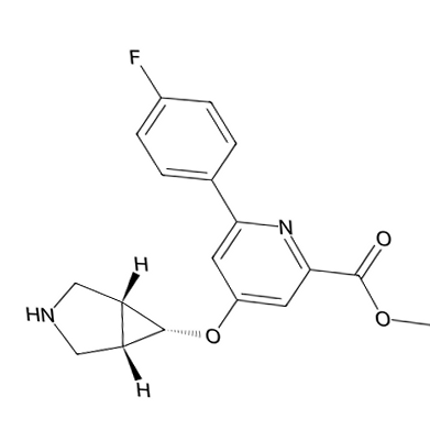 COC(=O)c1cc(O[C@@H]2[C@@H]3CNC[C@@H]32)cc(-c2ccc(F)cc2)n1